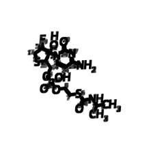 CC(C)NC(=O)SCCOP(=O)(O)OC[C@H]1SC[C@@H](F)[C@@]1(O)n1ccc(N)nc1=O